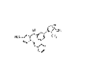 CCC(c1cccc(N2CC3CC3(C)C2C)c1)c1cc(C)ccc1OCc1ccccc1